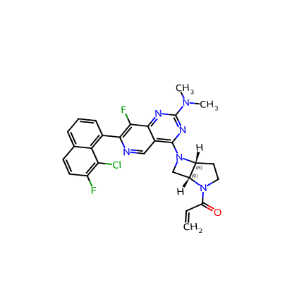 C=CC(=O)N1CC[C@@H]2[C@H]1CN2c1nc(N(C)C)nc2c(F)c(-c3cccc4ccc(F)c(Cl)c34)ncc12